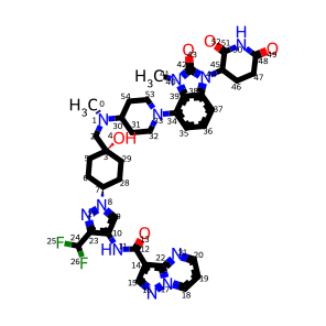 CN(C[C@]1(O)CC[C@@H](n2cc(NC(=O)c3cnn4cccnc34)c(C(F)F)n2)CC1)C1CCN(c2cccc3c2n(C)c(=O)n3C2CCC(=O)NC2=O)CC1